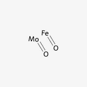 [O]=[Fe].[O]=[Mo]